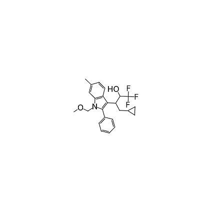 COCn1c(-c2ccccc2)c(C(CC2CC2)C(O)C(F)(F)F)c2ccc(C)cc21